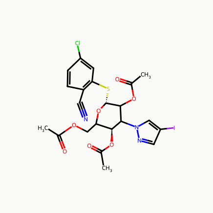 CC(=O)OCC1O[C@H](Sc2cc(Cl)ccc2C#N)C(OC(C)=O)C(n2cc(I)cn2)[C@H]1OC(C)=O